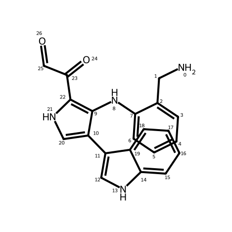 NCc1ccccc1Nc1c(-c2c[nH]c3ccccc23)c[nH]c1C(=O)C=O